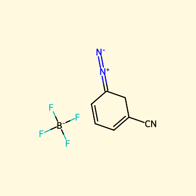 F[B-](F)(F)F.N#CC1=CC=CC(=[N+]=[N-])C1